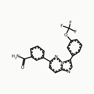 NC(=O)c1cccc(-c2ccc3ncc(-c4cccc(OC(F)(F)F)c4)n3n2)c1